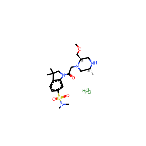 COC[C@H]1CN[C@H](C)CN1CC(=O)N1CC(C)(C)c2ccc(S(=O)(=O)N(C)C)cc21.Cl.Cl